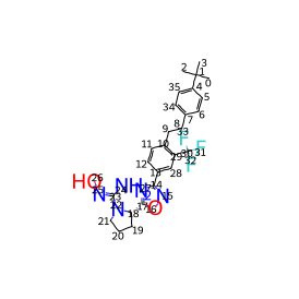 CC(C)(C)c1ccc(CCc2ccc(-c3noc([C@@H]4CCCN4/C(N)=N/O)n3)cc2C(F)(F)F)cc1